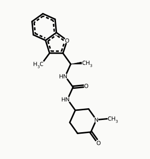 Cc1c([C@@H](C)NC(=O)NC2CCC(=O)N(C)C2)oc2ccccc12